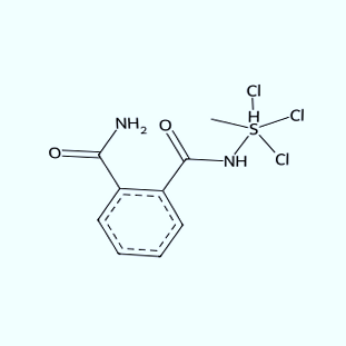 C[SH](Cl)(Cl)(Cl)NC(=O)c1ccccc1C(N)=O